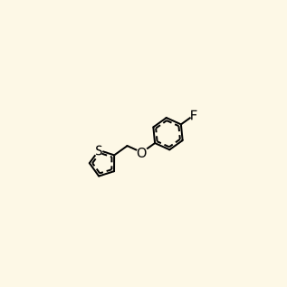 Fc1ccc(OCc2cccs2)cc1